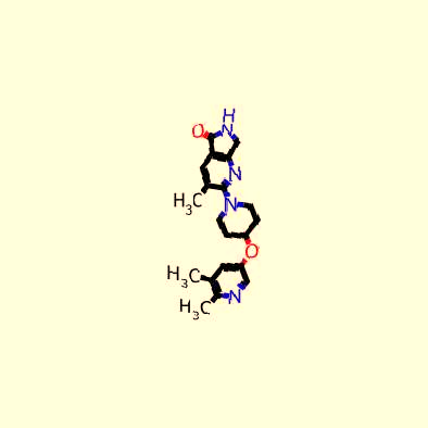 Cc1cc(OC2CCN(c3nc4c(cc3C)C(=O)NC4)CC2)cnc1C